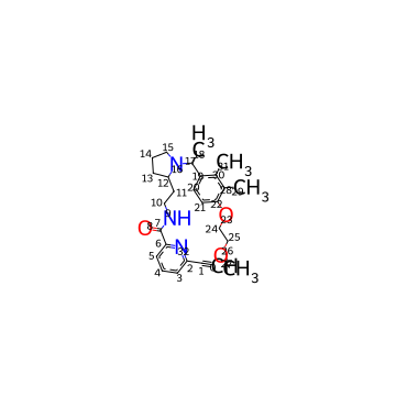 C#Cc1cccc(C(=O)NCCC2CCCN2C(C)c2ccc(OCCOC)c(C)c2C)n1